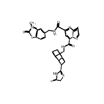 Cn1c(=O)oc2ccc(CNC(=O)c3cc(C(=O)NCC45C6C7C4C4C5C6C74C4=NCC(=O)N4)n4nccc4n3)cc21